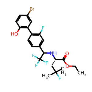 CCOC(=O)[C@H](CC(C)(C)F)NC(c1ccc(-c2cc(Br)ccc2O)c(F)c1)C(F)(F)F